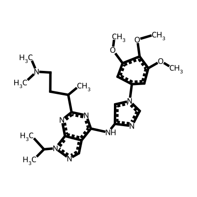 COc1cc(-n2cnc(Nc3nc(C(C)CCN(C)C)nc4c3cnn4C(C)C)c2)cc(OC)c1OC